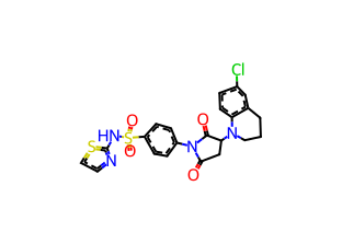 O=C1CC(N2CCCc3cc(Cl)ccc32)C(=O)N1c1ccc(S(=O)(=O)Nc2nccs2)cc1